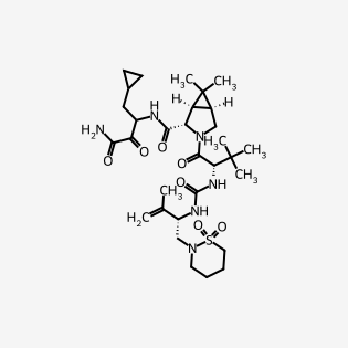 C=C(C)[C@@H](CN1CCCCS1(=O)=O)NC(=O)N[C@H](C(=O)N1C[C@H]2[C@@H]([C@H]1C(=O)NC(CC1CC1)C(=O)C(N)=O)C2(C)C)C(C)(C)C